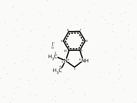 C[N+]1(C)CNc2ccccc21.[I-]